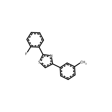 Cc1cccc(-c2csc(-c3ccccc3F)n2)c1